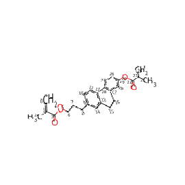 C=C(C)C(=O)OCCCc1ccc2c(c1)CCc1cc(OC(=O)C(=C)C)ccc1-2